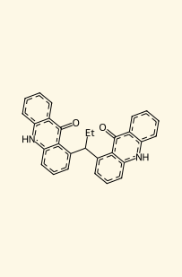 [CH2]CC(c1cccc2[nH]c3ccccc3c(=O)c12)c1cccc2[nH]c3ccccc3c(=O)c12